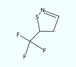 FC(F)(F)C1[CH]C=NS1